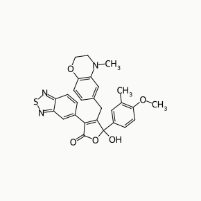 COc1ccc(C2(O)OC(=O)C(c3ccc4nsnc4c3)=C2Cc2ccc3c(c2)N(C)CCO3)cc1C